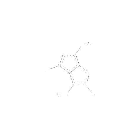 COc1cn(O)c2c(OC)[n+]([O-])oc12